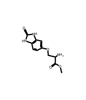 COC(=O)C(N)COc1ccc2[nH]c(=O)[nH]c2c1